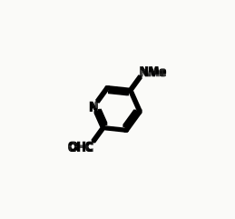 CNc1ccc(C=O)nc1